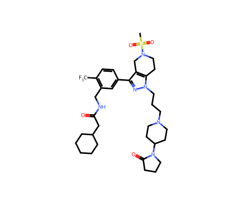 CS(=O)(=O)N1CCc2c(c(-c3ccc(C(F)(F)F)c(CNC(=O)CC4CCCCC4)c3)nn2CCCN2CCC(N3CCCC3=O)CC2)C1